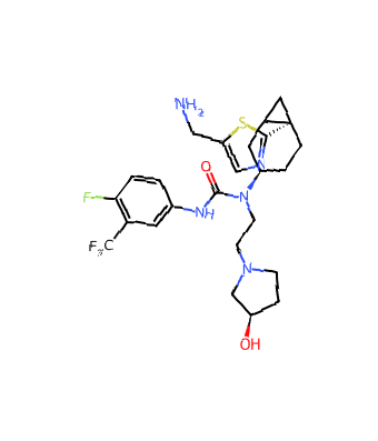 NCc1cnc([C@]23CC[C@@H](N(CCN4CC[C@@H](O)C4)C(=O)Nc4ccc(F)c(C(F)(F)F)c4)CC2C3)s1